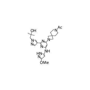 COc1cc(Nc2cc(N3CC4(CCN(C(C)=O)CC4)C3)nc(-c3cnn(CC(C)(C)O)c3)n2)[nH]n1